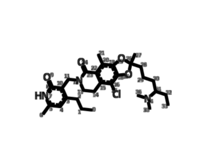 CCCc1cc(C)[nH]c(=O)c1CN1CCc2c(Cl)c3c(c(C)c2C1=O)OC(C)(CCCC(CC)N(C)C)O3